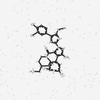 Cc1nn(-c2nc(-c3ccc(Cl)c(Cl)c3)c(SC(C)C)s2)c(C(=O)N2CCC(CN)CC2)c1-c1cc(C(F)(F)F)cc(C(F)(F)F)c1